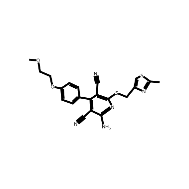 COCCOc1ccc(-c2c(C#N)c(N)nc(SCc3csc(C)n3)c2C#N)cc1